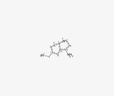 CC(C)Cc1ccc2nccc(N)c2c1